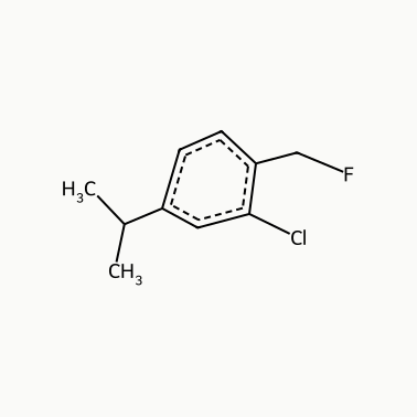 CC(C)c1ccc(CF)c(Cl)c1